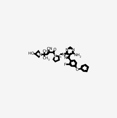 CC(C)(C=C(C#N)C(=O)N1CCC[C@H]1Cn1nc(-c2ccc(Oc3ccccc3)cc2F)c2c(N)ncnc21)N1CC(O)C1